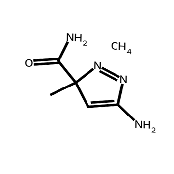 C.CC1(C(N)=O)C=C(N)N=N1